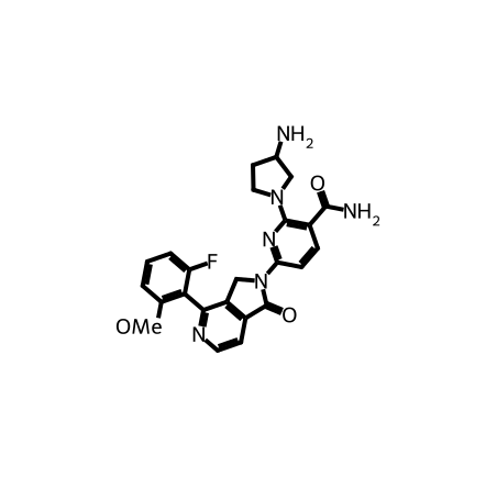 COc1cccc(F)c1-c1nccc2c1CN(c1ccc(C(N)=O)c(N3CCC(N)C3)n1)C2=O